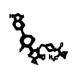 CC1(C(=O)N2CC(CN3C(=O)C4(CC4)N=C3c3ccc(-c4ccc5[nH]cnc5c4)cc3F)C2)CC1